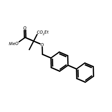 CCOC(=O)C(C)(OCc1ccc(-c2ccccc2)cc1)C(=O)OC